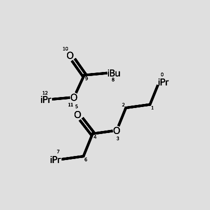 CC(C)CCOC(=O)CC(C)C.CCC(C)C(=O)OC(C)C